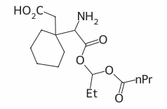 CCCC(=O)OC(CC)OC(=O)C(N)C1(CC(=O)O)CCCCC1